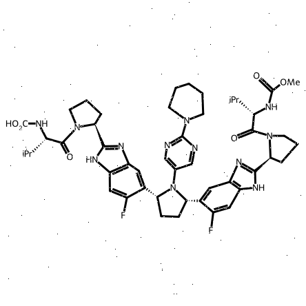 COC(=O)N[C@H](C(=O)N1CCC[C@H]1c1nc2cc([C@@H]3CC[C@H](c4cc5nc([C@@H]6CCCN6C(=O)[C@@H](NC(=O)O)C(C)C)[nH]c5cc4F)N3c3cnc(N4CCCCC4)nc3)c(F)cc2[nH]1)C(C)C